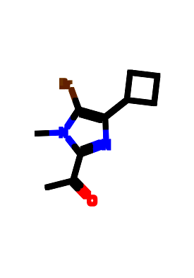 CC(=O)c1nc(C2CCC2)c(Br)n1C